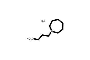 Cl.O=C(O)CCCN1CCCCCC1